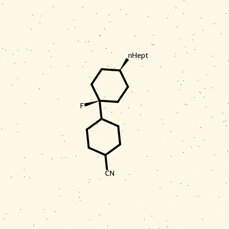 CCCCCCC[C@H]1CC[C@](F)(C2CCC(C#N)CC2)CC1